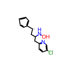 ONC(C[CH]c1ccccc1)Cc1ccc(Cl)cn1